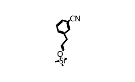 C[Si](C)(C)OC=CCc1cccc(C#N)c1